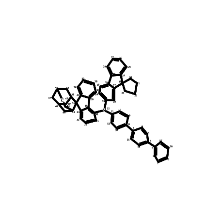 c1ccc(-c2ccc(-c3ccc(N(c4ccc5c(c4)C4(CCCC4)c4ccccc4-5)c4cccc5c4-c4ccccc4C54C5CCC6CC(C5)CC4C6)cc3)cc2)cc1